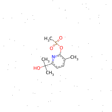 Cc1ccc(C(C)(C)O)nc1OS(C)(=O)=O